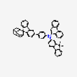 CC1(C)c2ccccc2-c2ccc(N(c3ccc(-c4ccc5c(c4)-c4ccccc4C54C5CC6CC(C5)CC4C6)cc3)c3cc4ccccc4c4ccccc34)cc21